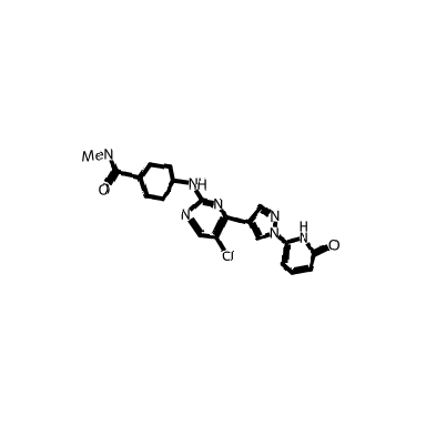 CNC(=O)C1CCC(Nc2ncc(Cl)c(-c3cnn(-c4cccc(=O)[nH]4)c3)n2)CC1